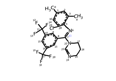 Cc1cc(C)c(/N=C(\c2cc(C(F)(F)F)cc(C(F)(F)F)c2)N2C=NCCC2)c(Cl)c1